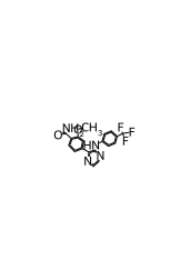 COc1cc(-c2nccnc2Nc2ccc(C(F)(F)F)cc2)ccc1C(N)=O